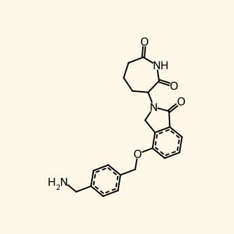 NCc1ccc(COc2cccc3c2CN(C2CCCC(=O)NC2=O)C3=O)cc1